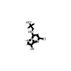 CC(C)(O)CNc1cc(Cl)nc2c(Br)cnn12